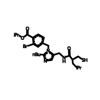 CCCCc1ncc(CNC(=O)C(CS)CC(C)C)n1Cc1ccc(C(=O)OC(C)C)c(Br)c1